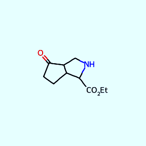 CCOC(=O)C1NCC2C(=O)CCC21